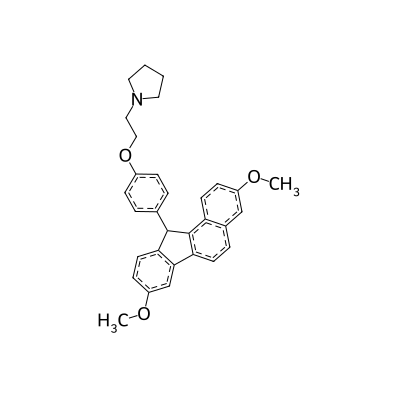 COc1ccc2c(c1)-c1ccc3cc(OC)ccc3c1C2c1ccc(OCCN2CCCC2)cc1